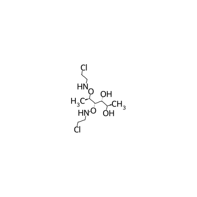 C[C@@H](O)[C@@H](O)[C@H](ONCCCl)[C@@H](C)ONCCCl